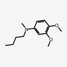 CCCCN(C)c1ccc(OC)c(OC)c1